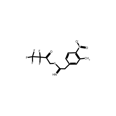 Cc1cc(CC(=N)SCC(=O)C(F)(F)C(F)(F)F)ccc1[N+](=O)[O-]